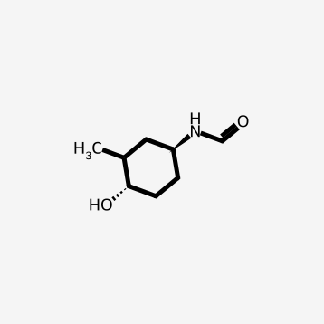 CC1C[C@@H](NC=O)CC[C@@H]1O